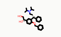 CC(C)N(CC[C@H](c1ccccc1)c1cc([C@H](O)CO)ccc1OCc1ccccc1)C(C)C